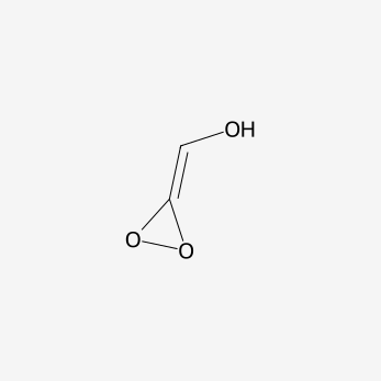 OC=C1OO1